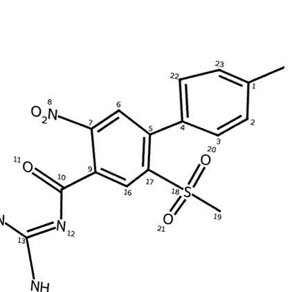 Cc1ccc(-c2cc([N+](=O)[O-])c(C(=O)N=C(N)N)cc2S(C)(=O)=O)cc1